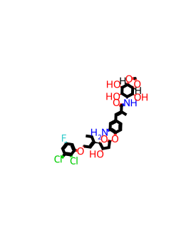 CC/C(=C\COc1cc(F)cc(Cl)c1Cl)[C@H]1O[C@@H](Oc2ccc(/C=C(\C)C(=O)N[C@@H]3[C@H](O)[C@@H](O)[C@H]4OCO[C@H]4[C@@H]3O)cc2N)C[C@@H]1O